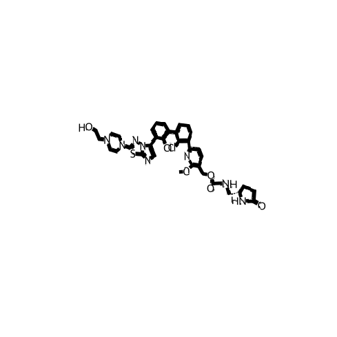 COc1nc(-c2cccc(-c3cccc(-c4cnc5sc(N6CCN(CCO)CC6)nn45)c3Cl)c2Cl)ccc1COC(=O)NC[C@@H]1CCC(=O)N1